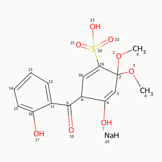 COC1(OC)C=C(O)C(C(=O)c2ccccc2O)C=C1S(=O)(=O)O.[NaH]